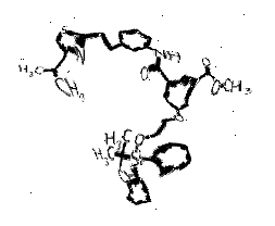 COC(=O)c1cc(OCCO[Si](c2ccccc2)(c2ccccc2)C(C)(C)C)cc(C(=O)Nc2cccc(C=Cc3nc(C(C)C)cs3)c2)c1